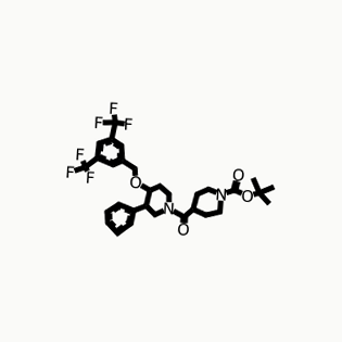 CC(C)(C)OC(=O)N1CCC(C(=O)N2CCC(OCc3cc(C(F)(F)F)cc(C(F)(F)F)c3)C(c3ccccc3)C2)CC1